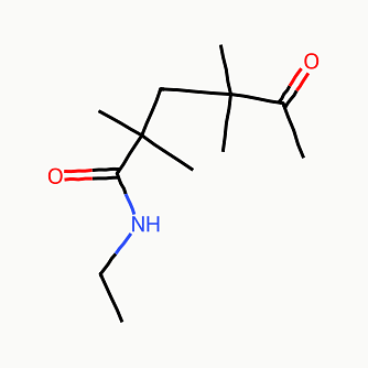 CCNC(=O)C(C)(C)CC(C)(C)C(C)=O